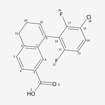 O=C(O)c1ccc2c(c1)C(c1c(F)ccc(Cl)c1F)=CCC2